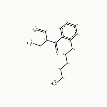 C=CN(CC)C(=O)c1ccccc1CCCCCC